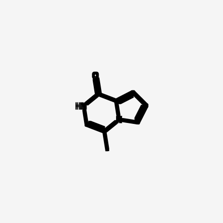 Cc1c[nH]c(=O)c2cccn12